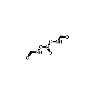 O=CNO[N+](=O)ONC=O